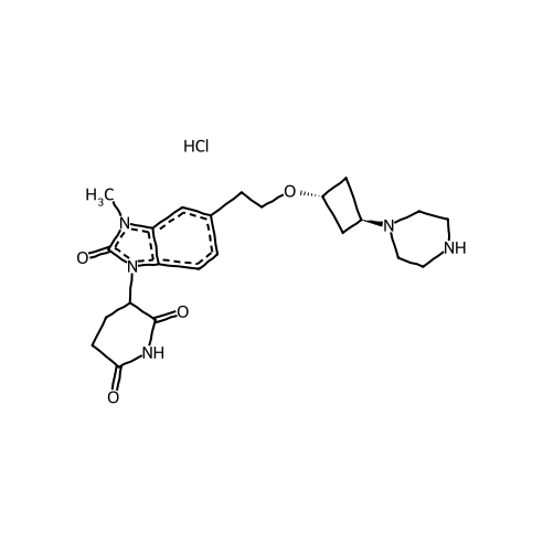 Cl.Cn1c(=O)n(C2CCC(=O)NC2=O)c2ccc(CCO[C@H]3C[C@H](N4CCNCC4)C3)cc21